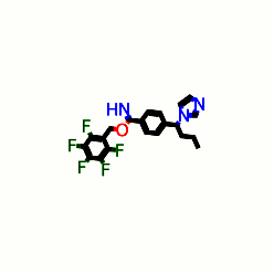 CCCC(c1ccc(C(=N)OCc2c(F)c(F)c(F)c(F)c2F)cc1)n1ccnc1